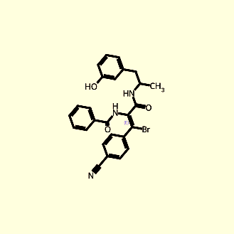 CC(Cc1cccc(O)c1)NC(=O)/C(NC(=O)c1ccccc1)=C(\Br)c1ccc(C#N)cc1